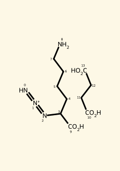 N=[N+]=NC(CCCCN)C(=O)O.O=C(O)CCC(=O)O